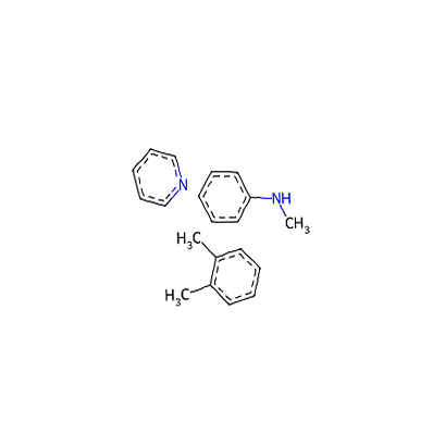 CNc1ccccc1.Cc1ccccc1C.c1ccncc1